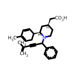 C=C(C)C#CC(c1ccccc1)N1CC[C@H](CC(=O)O)C[C@@H]1C1C=CC(C)=CC1